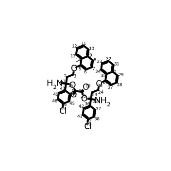 NC(CCOc1cccc2ccccc12)(OC(=O)C(=O)OC(N)(CCOc1cccc2ccccc12)c1ccc(Cl)cc1)c1ccc(Cl)cc1